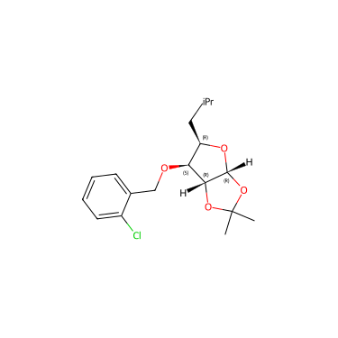 CC(C)C[C@H]1O[C@@H]2OC(C)(C)O[C@@H]2[C@H]1OCc1ccccc1Cl